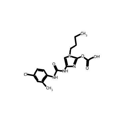 CCCCn1cc(NC(=O)Nc2ccc(Cl)cc2C)nc1OC(=O)O